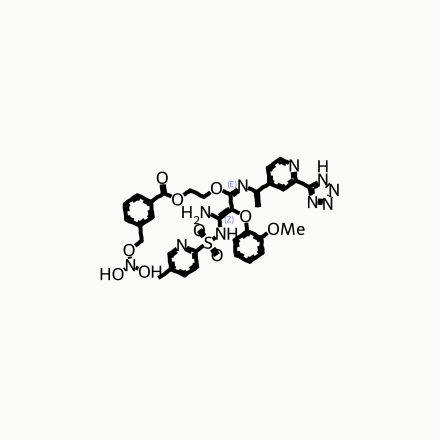 C=C(/N=C(OCCOC(=O)c1cccc(CON(O)O)c1)\C(Oc1ccccc1OC)=C(/N)NS(=O)(=O)c1ccc(C)cn1)c1ccnc(-c2nnn[nH]2)c1